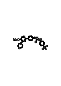 COc1cnc(-c2ccc(NC(=O)Nc3ccc(S(C)(=O)=O)cc3)cc2)nc1N1CCOCC1